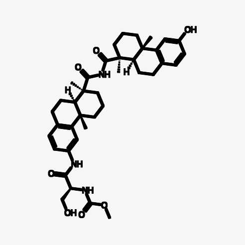 COC(=O)N[C@@H](CO)C(=O)Nc1ccc2c(c1)[C@@]1(C)CCC[C@](C)(C(=O)NC(=O)[C@@]3(C)CCC[C@]4(C)c5cc(O)ccc5CC[C@@H]34)[C@@H]1CC2